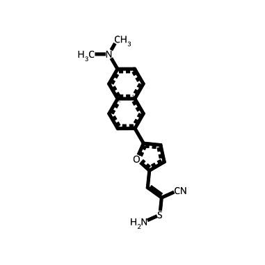 CN(C)c1ccc2cc(-c3ccc(/C=C(\C#N)SN)o3)ccc2c1